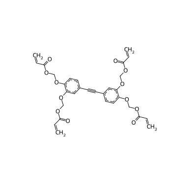 C=CC(=O)OCOc1ccc(C#Cc2ccc(OCOC(=O)C=C)c(OCOC(=O)C=C)c2)cc1OCOC(=O)C=C